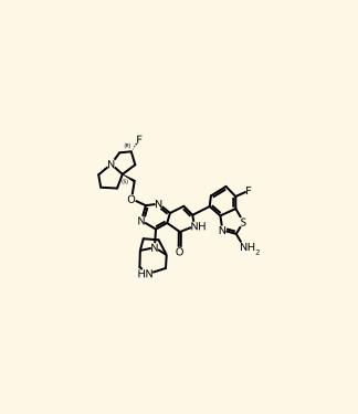 Nc1nc2c(-c3cc4nc(OC[C@@]56CCCN5C[C@H](F)C6)nc(N5C6CCC5CNC6)c4c(=O)[nH]3)ccc(F)c2s1